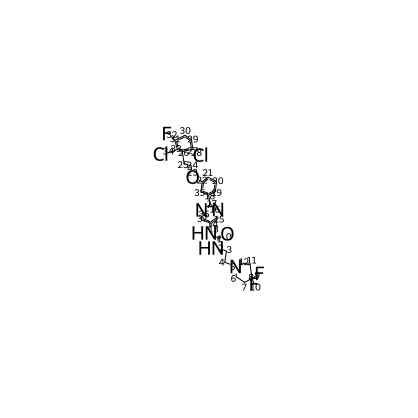 O=C(NCCN1CCC(F)(F)CC1)Nc1cnc(-c2cccc(OCCc3c(Cl)ccc(F)c3Cl)c2)nc1